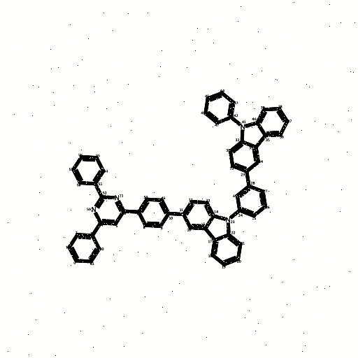 c1ccc(-c2cc(-c3ccc(-c4ccc5c(c4)c4ccccc4n5-c4cccc(-c5ccc6c(c5)c5ccccc5n6-c5ccccc5)c4)cc3)nc(-c3ccccc3)n2)cc1